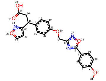 COc1ccc(-c2nc(COc3ccc(C(CC(=O)O)c4ccon4)cc3)no2)cc1